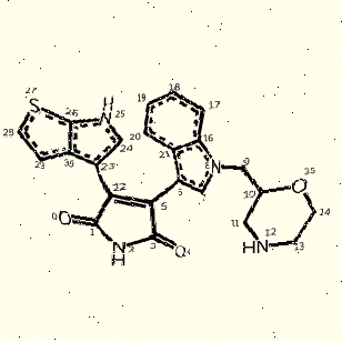 O=C1NC(=O)C(c2cn(CC3CNCCO3)c3ccccc23)=C1c1c[nH]c2sccc12